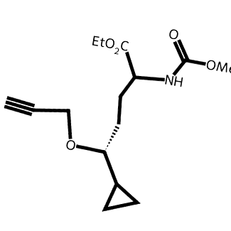 C#CCO[C@H](CCC(NC(=O)OC)C(=O)OCC)C1CC1